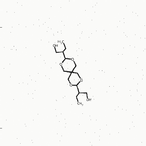 CCC(CO)C1OCC2(CO1)COC(C(CC)CO)OC2